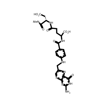 CNC(=O)[C@H](CC(=O)O)NC(=O)CCC(NC(=O)c1ccc(NCc2cnc3nc(N)[nH]c(=O)c3n2)cc1)C(=O)O